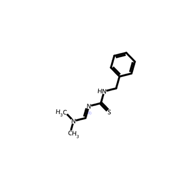 CN(C)/C=N/C(=S)NCc1ccccc1